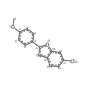 COc1ccc(-c2nc3ncc(Cl)cc3o2)cc1